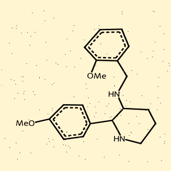 COc1ccc(C2NCCCC2NCc2ccccc2OC)cc1